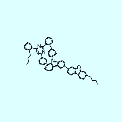 CCCCc1ccc2c(c1)oc1cc(-c3ccc4c(c3)c3ccccc3n4-c3ccc(-c4ccccc4-c4nc(-c5ccccc5)nc(-c5ccccc5CCCC)n4)cc3)ccc12